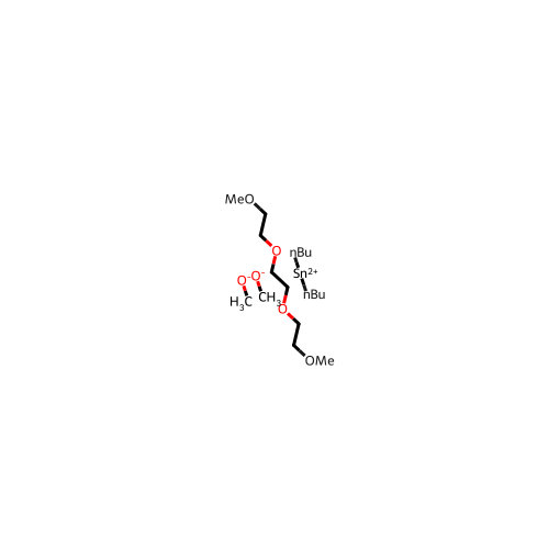 CCC[CH2][Sn+2][CH2]CCC.COCCOCCOCCOC.C[O-].C[O-]